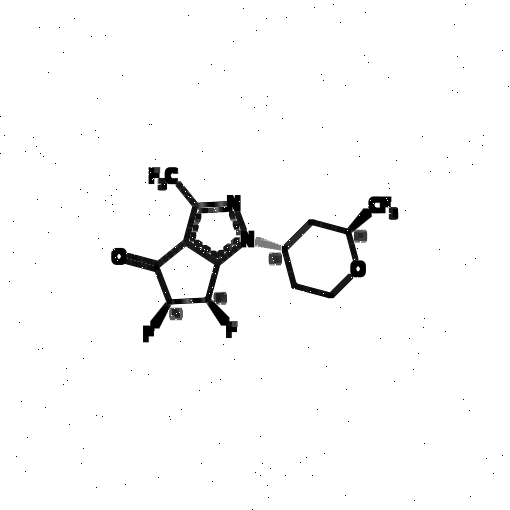 O=C1c2c(C(F)(F)F)nn([C@H]3CCO[C@H](C(F)(F)F)C3)c2[C@@H](F)[C@H]1F